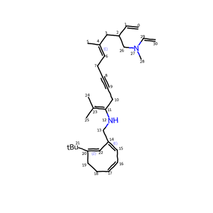 C=CC(C/C(C)=C/CC#CCC(NCC1=C/C=CCC\C(C(C)(C)C)=C\1)=C(C)C)CN(C)C=C